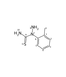 Cc1ccccc1N(N)C(N)=S